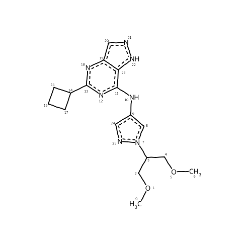 COCC(COC)n1cc(Nc2nc(C3CCC3)nc3cn[nH]c23)cn1